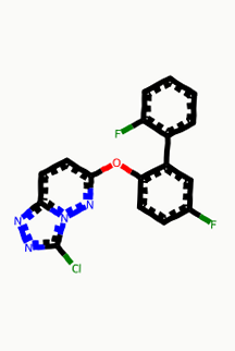 Fc1ccc(Oc2ccc3nnc(Cl)n3n2)c(-c2ccccc2F)c1